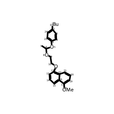 CCC(C)c1ccc(OC(C)OCCOc2cccc3c(OC)cccc23)cc1